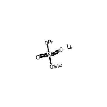 CCCS(=O)(=O)OC.[Li]